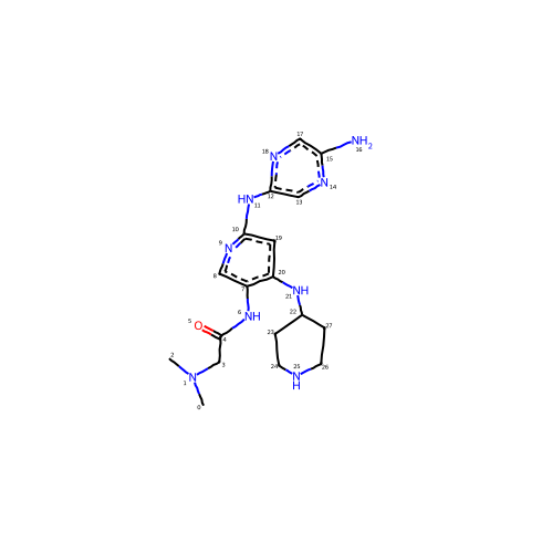 CN(C)CC(=O)Nc1cnc(Nc2cnc(N)cn2)cc1NC1CCNCC1